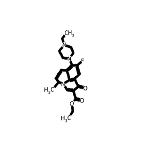 CCOC(=O)c1cn2c3c(c(N4CCN(CC)CC4)c(F)cc3c1=O)C=CC2C